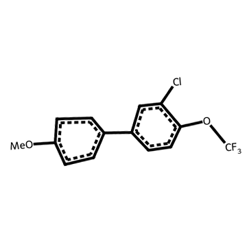 COc1ccc(-c2ccc(OC(F)(F)F)c(Cl)c2)cc1